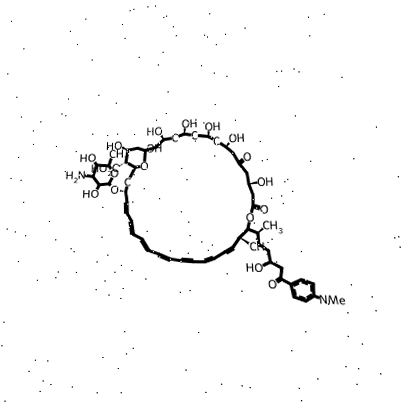 CNc1ccc(C(=O)CC(O)CC[C@H](C)C2OC(=O)C[C@H](O)CC(=O)C[C@H](O)C[C@H](O)C[C@H](O)C[C@H](O)C[C@]3(O)C[C@H](O)[C@@H](C(=O)O)C(C[C@@H](OC4OC(C)C(O)C(N)C4O)/C=C/C=C/C=C/C=C\C=C/C=C/C=C/[C@@H]2C)O3)cc1